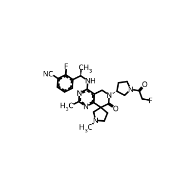 Cc1nc(N[C@H](C)c2cccc(C#N)c2F)c2c(n1)C1(CCN(C)C1)C(=O)N([C@@H]1CCN(C(=O)CF)C1)C2